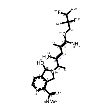 CNC(=O)c1nccc2c1CN(C(C)/C(N)=C/C(C)=C(\N)OCC(F)(F)C(F)F)C2O